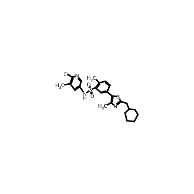 Cc1ccc(-c2sc(CC3CCCCC3)nc2C)cc1S(=O)(=O)Nc1cnc(Cl)c(C)c1